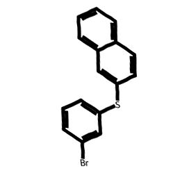 Brc1cccc(Sc2ccc3ccccc3c2)c1